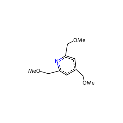 COCc1cc(COC)nc(COC)c1